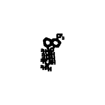 [2H]C([2H])([2H])NC([2H])([2H])C([2H])([2H])C([2H])(Oc1ccc(C(F)(F)F)cc1)c1ccccc1